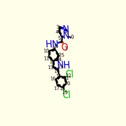 Cn1nccc1C(=O)Nc1ccc2cc(-c3ccc(Cl)cc3Cl)[nH]c2c1